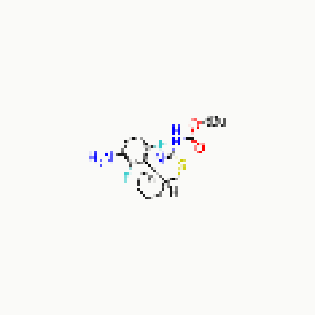 CC(C)(C)OC(=O)NC1=N[C@@]2(c3c(F)ccc(N)c3F)CCCC[C@H]2CS1